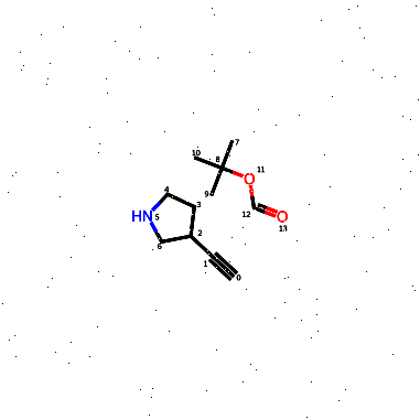 C#CC1CCNC1.CC(C)(C)OC=O